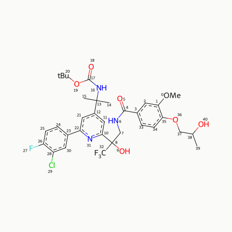 COc1cc(C(=O)NCC(O)(c2cc(C(C)(C)NC(=O)OC(C)(C)C)cc(-c3ccc(F)c(Cl)c3)n2)C(F)(F)F)ccc1OCC(C)O